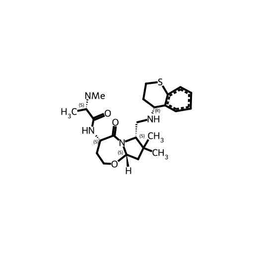 CN[C@@H](C)C(=O)N[C@H]1CCO[C@H]2CC(C)(C)[C@@H](CN[C@@H]3CCSc4ccccc43)N2C1=O